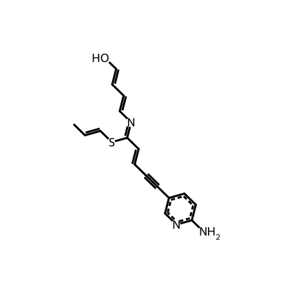 C/C=C/SC(/C=C/C#Cc1ccc(N)nc1)=N\C=C\C=C\O